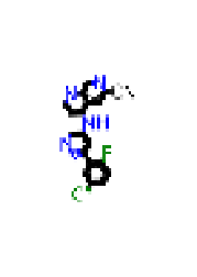 N#Cc1cc2c(Nc3cnnc(-c4cc(Cl)ccc4F)c3)ccnc2cn1